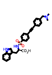 CN(C)Cc1ccc(C#Cc2ccc(S(=O)(=O)N[C@H](Cc3c[nH]c4ccccc34)C(=O)O)cc2)cc1